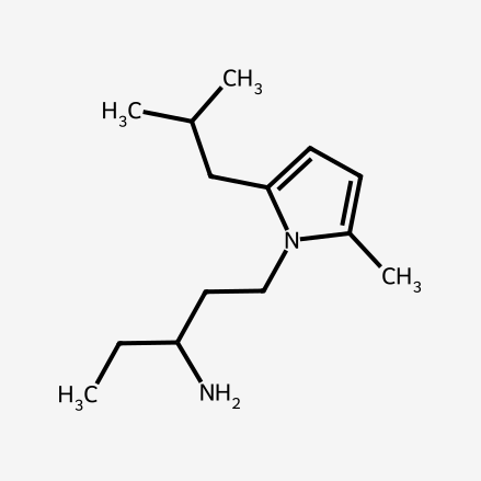 CCC(N)CCn1c(C)ccc1CC(C)C